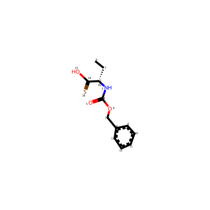 CC[C@H](NC(=O)OCc1ccccc1)C(O)=S